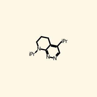 CC(C)c1cnnc2c1CCCN2C(C)C